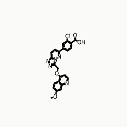 COc1ccc2c(OCc3nnc4ccc(-c5ccc(C(=O)O)c(Cl)c5)nn34)ccnc2c1